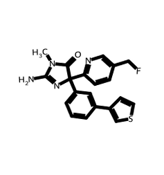 CN1C(=O)C(c2cccc(-c3ccsc3)c2)(c2ccc(CF)cn2)N=C1N